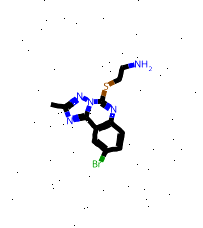 Cc1nc2c3cc(Br)ccc3nc(SCCN)n2n1